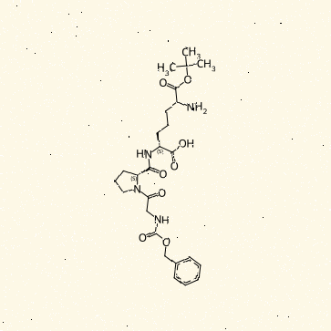 CC(C)(C)OC(=O)C(N)CCC[C@H](NC(=O)[C@@H]1CCCN1C(=O)CNC(=O)OCc1ccccc1)C(=O)O